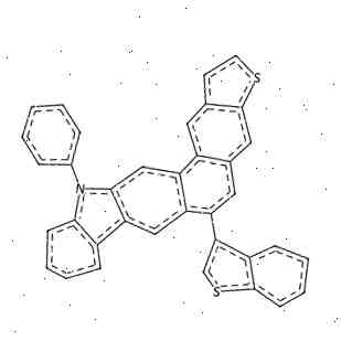 c1ccc(-n2c3ccccc3c3cc4c(-c5csc6ccccc56)cc5cc6sccc6cc5c4cc32)cc1